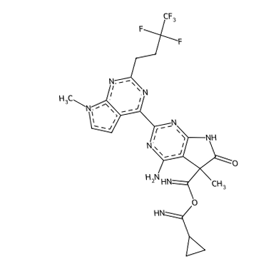 Cn1ccc2c(-c3nc(N)c4c(n3)NC(=O)C4(C)C(=N)OC(=N)C3CC3)nc(CCC(F)(F)C(F)(F)F)nc21